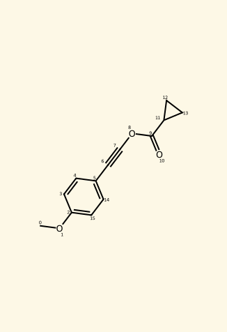 COc1ccc(C#COC(=O)C2CC2)cc1